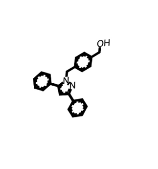 OCc1ccc(Cn2nc(-c3ccccc3)cc2-c2ccccc2)cc1